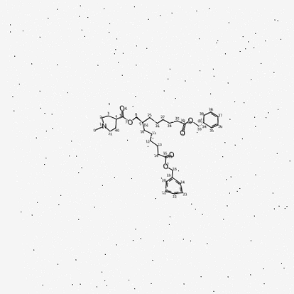 CN1CCC(C(=O)OC[C@H](CCCCCC(=O)OCc2ccccc2)CCCCCC(=O)OC[C@H]2C=CC=CC2)CC1